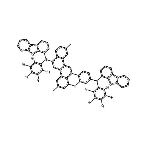 [2H]c1c([2H])c([2H])c(N(c2ccc3c(c2)Oc2cc(C)cc4c2c-3cc2c3cc(C)ccc3c(N(c3c([2H])c([2H])c([2H])c([2H])c3[2H])c3cccc5c3oc3ccccc35)cc42)c2cccc3c2oc2ccccc23)c([2H])c1[2H]